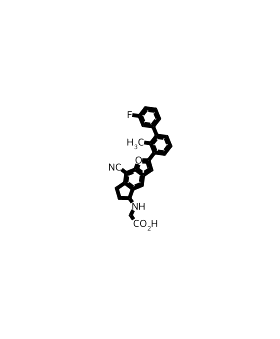 Cc1c(-c2cccc(F)c2)cccc1-c1cc2cc3c(c(C#N)c2o1)CCC3NCC(=O)O